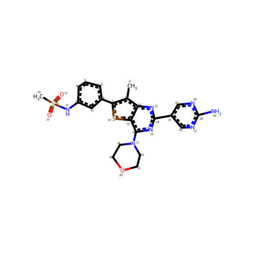 Cc1c(-c2cccc(NS(C)(=O)=O)c2)sc2c(N3CCOCC3)nc(-c3cnc(N)nc3)nc12